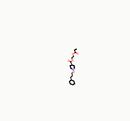 C=CC(=O)OCCOC(=O)c1cc[n+](OCCCc2ccccc2)cc1